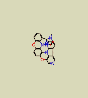 Cn1c2[n+](c3ccccc31)[N+]13c4c(cccc4-2)Oc2ccc4c(c21)-n1c2c(cncc2c2ccc[n+]3c21)O4